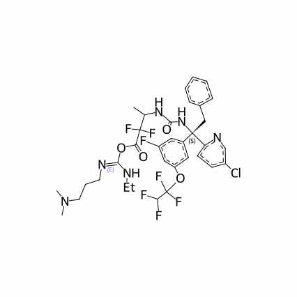 CCN/C(=N\CCCN(C)C)OC(=O)C(F)(F)C(C)NC(=O)N[C@@](Cc1ccccc1)(c1cc(F)cc(OC(F)(F)C(F)F)c1)c1ccc(Cl)cn1